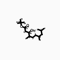 CC(C)CC(C)CCC(C)C(O)CC(=O)OC(C)(C)C